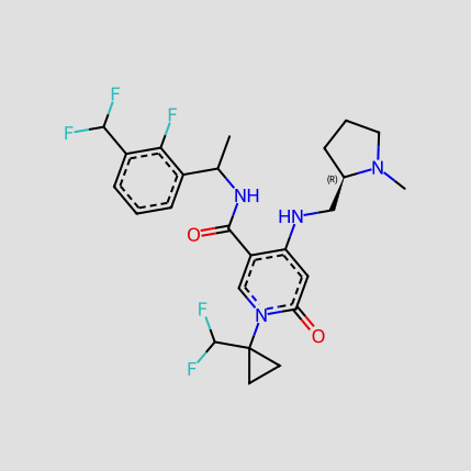 CC(NC(=O)c1cn(C2(C(F)F)CC2)c(=O)cc1NC[C@H]1CCCN1C)c1cccc(C(F)F)c1F